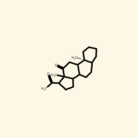 CC(=O)C1CCC2C3CCC4CCCC[C@]4(C)C3CC(=O)C12C